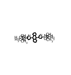 CC1(C)N=C(c2ccc(-c3c4ccccc4c(-c4ccc(C5=NC(C)(C)C(C)(C)O5)nc4)c4ccccc34)nc2)OC1(C)C